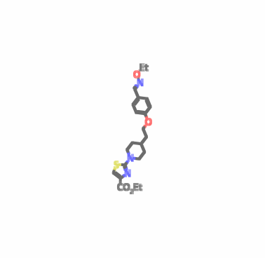 CCON=Cc1ccc(OCCC2CCN(c3nc(C(=O)OCC)cs3)CC2)cc1